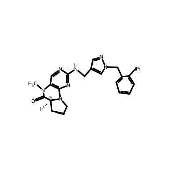 CC(C)c1ccccc1Cn1cc(CNc2ncc3c(n2)N2CCC[C@H]2C(=O)N3C)cn1